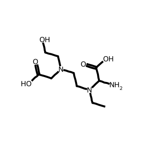 CCN(CCN(CCO)CC(=O)O)C(N)C(=O)O